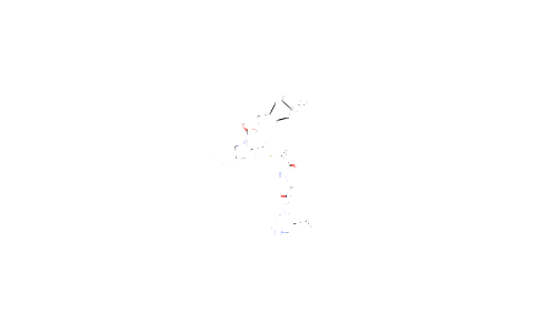 CC(=O)OC(C)C1CNCCN1NC(=O)CNC(=O)C(C)SCC1CC(SC(C)=O)CN1C(=O)OCc1ccc([N+](=O)[O-])cc1